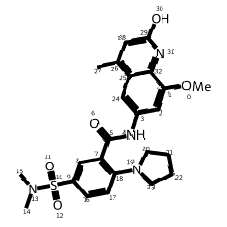 COc1cc(NC(=O)c2cc(S(=O)(=O)N(C)C)ccc2N2CCCC2)cc2c(C)cc(O)nc12